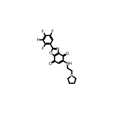 O=C1C(NCCN2CCCC2)=CC(=O)c2oc(-c3cc(F)c(F)c(F)c3F)nc21